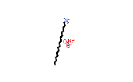 CCCCCCCCCCCCCCCCCC[N+](C)(C)C.O=[N+]([O-])O